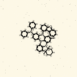 Cc1cc2c3c(c1)N1c4c(cccc4C4(C)CCCCC14C)B3c1ccc(N(c3ccccc3)c3ccccc3)cc1N2c1cccc2oc3ccccc3c12